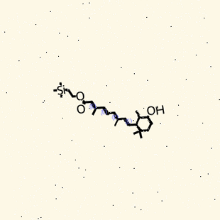 CC(/C=C/C1C(C)C(O)CCC1(C)C)=C\C=C\C(C)=C\C(=O)OCC[Si](C)(C)C